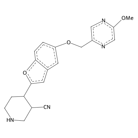 COc1cnc(COc2ccc3oc(C4CCNCC4C#N)cc3c2)cn1